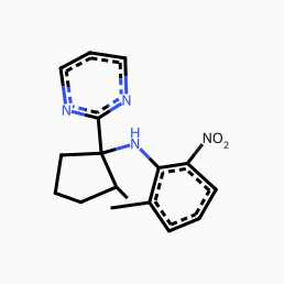 Cc1cccc([N+](=O)[O-])c1NC1(c2ncccn2)CCCC1C